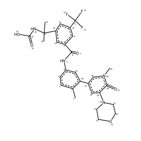 Cc1ccc(NC(=O)c2cc(C(F)(F)F)cc(C(C)(C)NC(=O)O)c2)cc1-c1cc(N2CCOCC2)c(=O)n(C)c1